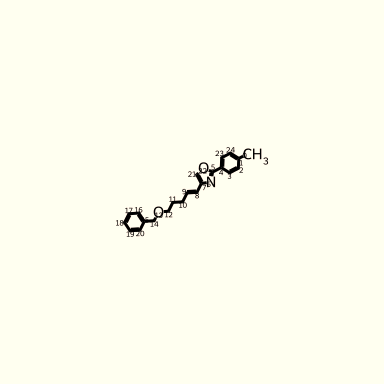 Cc1ccc(-c2nc(C=CCCCOCc3ccccc3)co2)cc1